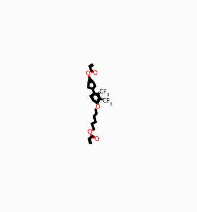 C=CC(=O)OCCCCCCOc1ccc(C2CC3C(C2)C3OC(=O)C=C)c(C(F)(F)F)c1C(F)(F)F